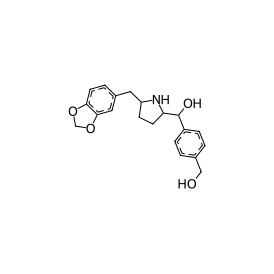 OCc1ccc(C(O)C2CCC(Cc3ccc4c(c3)OCO4)N2)cc1